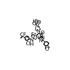 C=C(c1ccc(NC(=O)Cn2c(CC)c(N3CCN(C(=O)OC(C)(C)C)CC3)c(=O)n3nc(-c4ccc5c(c4)COC5)nc23)c(Cl)c1)C(F)(F)F